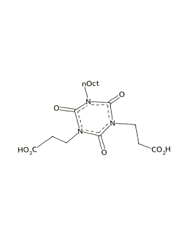 CCCCCCCCn1c(=O)n(CCC(=O)O)c(=O)n(CCC(=O)O)c1=O